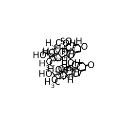 CS(=O)(=O)O.C[C@@H]1C[C@H]2[C@@H]3CCC4=CC(=O)C=C[C@]4(C)[C@@]3(F)[C@@H](O)C[C@]2(C)[C@@]1(O)C(=O)CO.C[C@@H]1C[C@H]2[C@@H]3CCC4=CC(=O)C=C[C@]4(C)[C@@]3(F)[C@@H](O)C[C@]2(C)[C@@]1(O)C(=O)CO